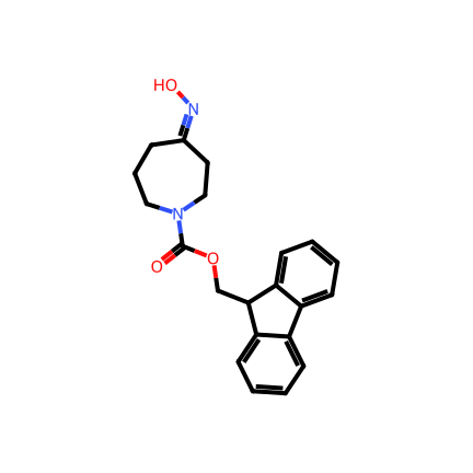 O=C(OCC1c2ccccc2-c2ccccc21)N1CCC/C(=N\O)CC1